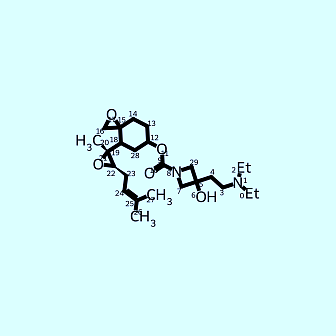 CCN(CC)CCC1(O)CN(C(=O)OC2CCC3(CO3)C([C@@]3(C)O[C@@H]3CC=C(C)C)C2)C1